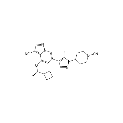 Cc1c(-c2cc(O[C@H](C)C3CCC3)c3c(C#N)cnn3c2)cnn1C1CCN(C#N)CC1